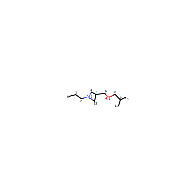 CCCN1CC(COCC(C)C)C1